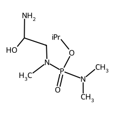 CC(C)OP(=O)(N(C)C)N(C)CC(N)O